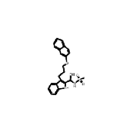 CS(=O)(=O)NC(O)c1[nH]c2ccccc2c1CCCOc1ccc2ccccc2c1